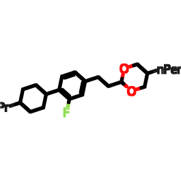 CCCCCC1COC(CCc2ccc(C3CCC(CCC)CC3)c(F)c2)OC1